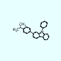 CC(C)c1ccc(-c2ccc3c4ccccc4n(-c4ccccc4)c3c2)cc1